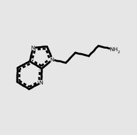 NCCCCn1cnc2cccnc21